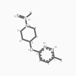 Cc1ccc(OC2CCN(S(C)=S)CC2)nn1